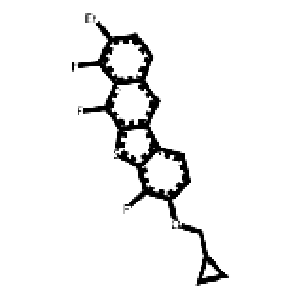 CCc1ccc2cc3c(sc4c(F)c(OCC5CC5)ccc43)c(F)c2c1F